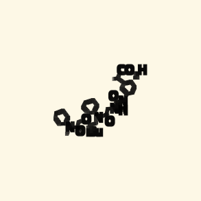 CCC(C)CCN(C(=O)CNC(=O)Nc1cccc(C(C)C(=O)O)c1)c1ccccc1OCC(=O)N(C)c1ccccc1